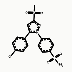 CS(=O)(=O)c1cc(-c2ccc(Cl)cc2)n(-c2ccc(S(N)(=O)=O)cc2)n1